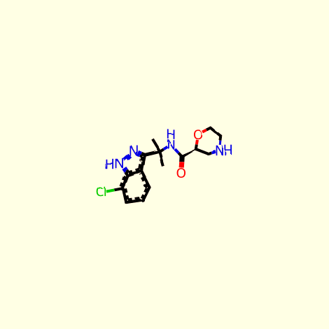 CC(C)(NC(=O)[C@@H]1CNCCO1)c1n[nH]c2c(Cl)cccc12